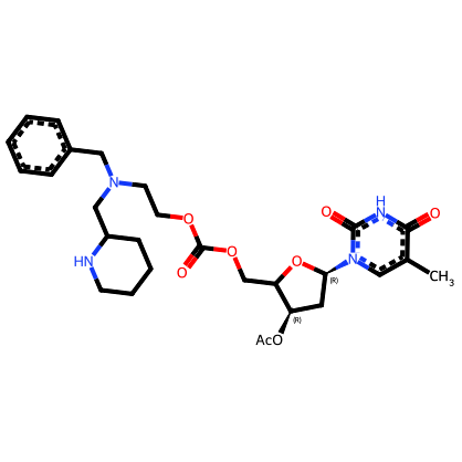 CC(=O)O[C@@H]1C[C@H](n2cc(C)c(=O)[nH]c2=O)OC1COC(=O)OCCN(Cc1ccccc1)CC1CCCCN1